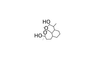 COC(O)C(C)C1CCCC2CC[C@@](C)(O)OCC21